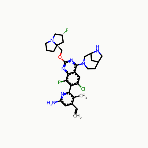 C=Cc1cc(N)nc(-c2c(Cl)cc3c(N4CCC5CNC(C5)C4)nc(OC[C@@]45CCCN4C[C@H](F)C5)nc3c2F)c1C(F)(F)F